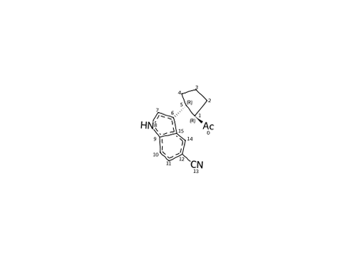 CC(=O)[C@@H]1CCC[C@H]1c1c[nH]c2ccc(C#N)cc12